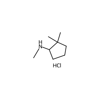 CNC1CCCC1(C)C.Cl